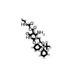 CCNC(=O)OC(=O)c1c(N)n(CCO[Si](c2ccccc2)(c2ccccc2)C(C)(C)C)c(=O)[nH]c1=O